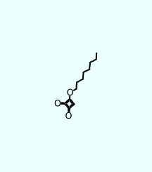 CCCCCCCCOc1cc(=O)c1=O